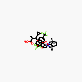 CC(C(=O)O)C(c1ccc2c(c1)OC(C1[C@@H]3CC[C@H]1CN(C(C)c1cc(C(F)(F)F)ccc1C(F)(F)F)C3)CC2)C1CC1